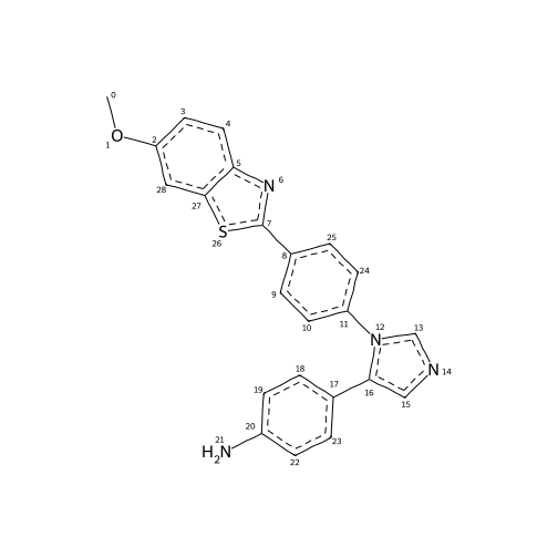 COc1ccc2nc(-c3ccc(-n4cncc4-c4ccc(N)cc4)cc3)sc2c1